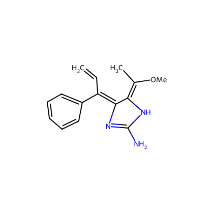 C=C/C(c1ccccc1)=c1/nc(N)[nH]/c1=C(/C)OC